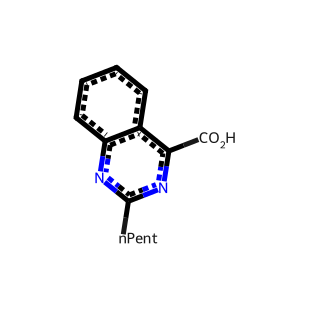 CCCCCc1nc(C(=O)O)c2ccccc2n1